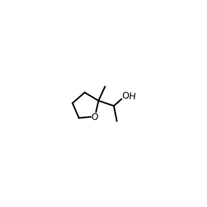 CC(O)C1(C)CCCO1